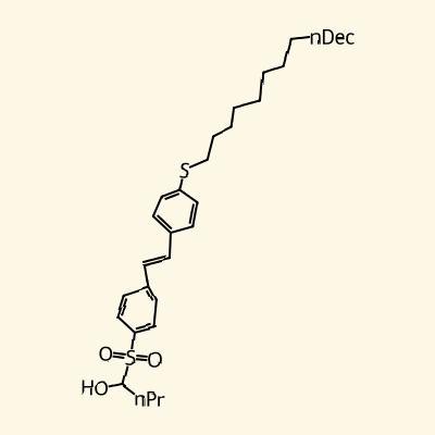 CCCCCCCCCCCCCCCCCCSc1ccc(C=Cc2ccc(S(=O)(=O)C(O)CCC)cc2)cc1